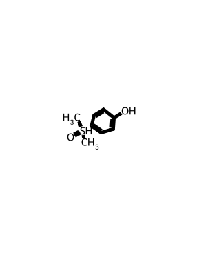 C[SH](C)(=O)c1ccc(O)cc1